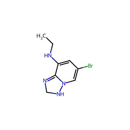 CCNC1=CC(Br)=CN2NCN=C12